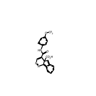 O=C(Nc1ccc(OC(F)(F)F)cc1)C1=CN=NC2=c3ccccc3=CC12C(=O)O